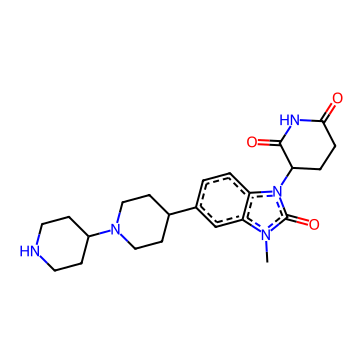 Cn1c(=O)n(C2CCC(=O)NC2=O)c2ccc(C3CCN(C4CCNCC4)CC3)cc21